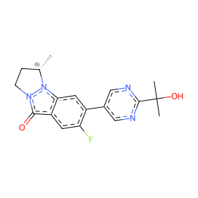 C[C@H]1CCn2c(=O)c3cc(F)c(-c4cnc(C(C)(C)O)nc4)cc3n21